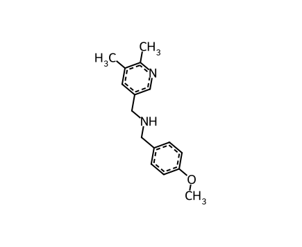 COc1ccc(CNCc2cnc(C)c(C)c2)cc1